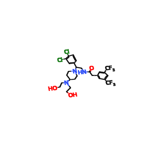 O=C(Cc1cc(C(F)(F)F)cc(C(F)(F)F)c1)NCC(c1ccc(Cl)c(Cl)c1)N1CCC(N(CCO)CCO)CC1